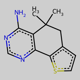 CC1(C)Cc2ccsc2-c2ncnc(N)c21